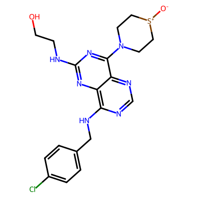 [O-][S+]1CCN(c2nc(NCCO)nc3c(NCc4ccc(Cl)cc4)ncnc23)CC1